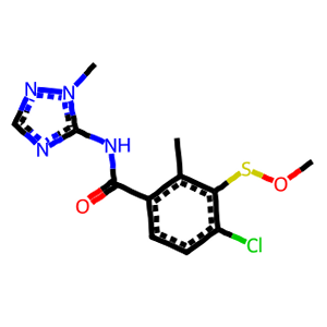 COSc1c(Cl)ccc(C(=O)Nc2ncnn2C)c1C